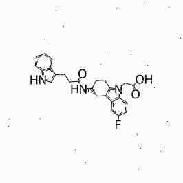 O=C(O)Cn1c2c(c3cc(F)ccc31)C[C@@H](NC(=O)CCc1c[nH]c3ccccc13)CC2